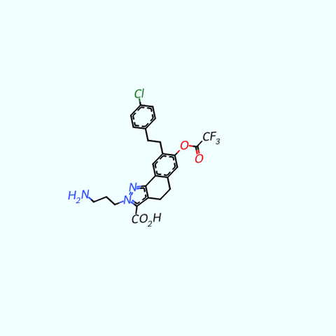 NCCCn1nc2c(c1C(=O)O)CCc1cc(OC(=O)C(F)(F)F)c(CCc3ccc(Cl)cc3)cc1-2